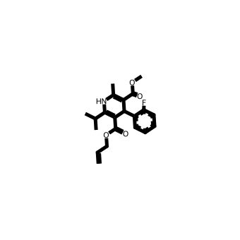 C=CCOC(=O)C1=C(C(C)C)NC(C)=C(C(=O)OC)C1c1ccccc1F